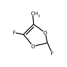 CC1=C(F)OC(F)O1